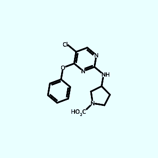 O=C(O)N1CCC(Nc2ncc(Cl)c(Oc3ccccc3)n2)C1